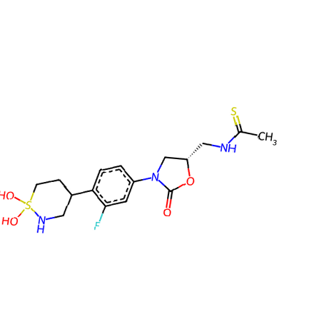 CC(=S)NC[C@H]1CN(c2ccc(C3CCS(O)(O)NC3)c(F)c2)C(=O)O1